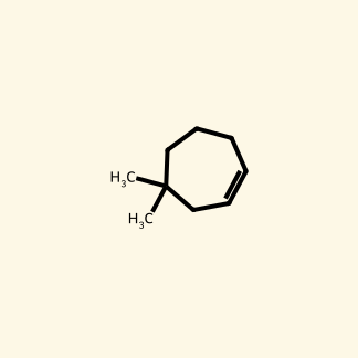 CC1(C)CC=CCCC1